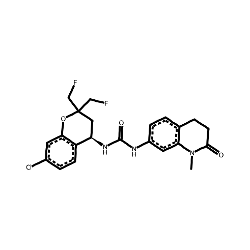 CN1C(=O)CCc2ccc(NC(=O)N[C@@H]3CC(CF)(CF)Oc4cc(Cl)ccc43)cc21